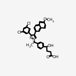 COc1ccc2cc(-c3cn([C@@H](C)c4ccc(C(O)CCC(=O)O)cc4)nc3-c3cc(Cl)cc(Cl)c3)ccc2c1